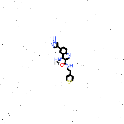 CC(C)Nc1c(C(=O)NCCC2=CCSC=C2)cnc2ccc(-c3cn[nH]c3)cc12